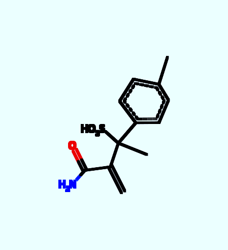 C=C(C(N)=O)C(C)(c1ccc(C)cc1)S(=O)(=O)O